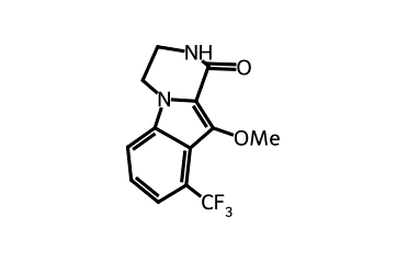 COc1c2n(c3cccc(C(F)(F)F)c13)CCNC2=O